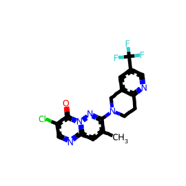 Cc1cc2ncc(Cl)c(=O)n2nc1N1CCc2ncc(C(F)(F)F)cc2C1